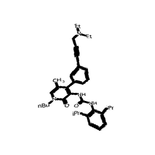 CCCCn1cc(C)c(-c2cccc(C#CCN(CC)CC)c2)c(NC(=O)Nc2c(C(C)C)cccc2C(C)C)c1=O